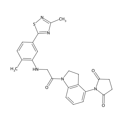 Cc1nsc(-c2ccc(C)c(NCC(=O)N3CCc4c3cccc4N3C(=O)CCC3=O)c2)n1